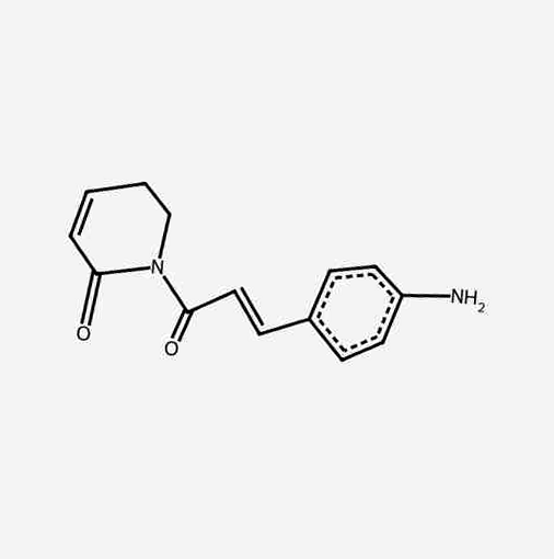 Nc1ccc(C=CC(=O)N2CCC=CC2=O)cc1